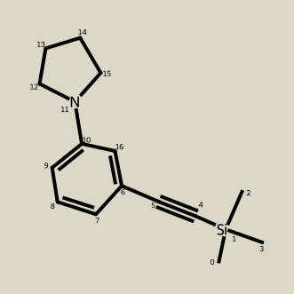 C[Si](C)(C)C#Cc1cccc(N2CCCC2)c1